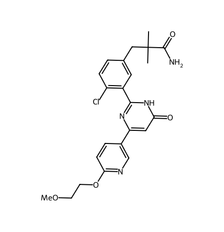 COCCOc1ccc(-c2cc(=O)[nH]c(-c3cc(CC(C)(C)C(N)=O)ccc3Cl)n2)cn1